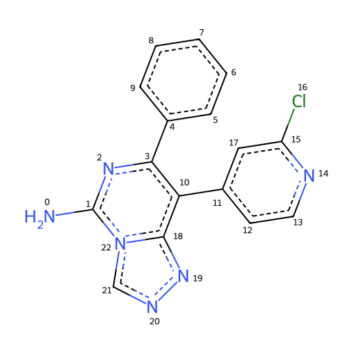 Nc1nc(-c2ccccc2)c(-c2ccnc(Cl)c2)c2nncn12